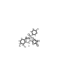 Cc1ccc(S(=O)(=O)N[C@H](c2n[nH]c(=O)o2)[C@H](C)c2c(F)ccc(C)c2C)cc1